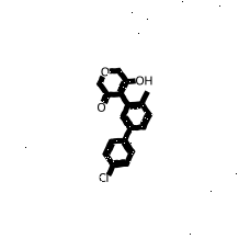 Cc1ccc(-c2ccc(Cl)cc2)cc1C1=C(O)COCC1=O